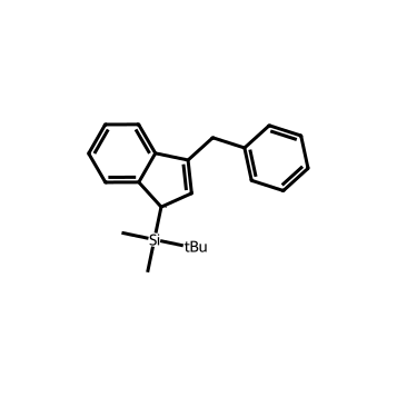 CC(C)(C)[Si](C)(C)[C]1C=C(Cc2ccccc2)c2ccccc21